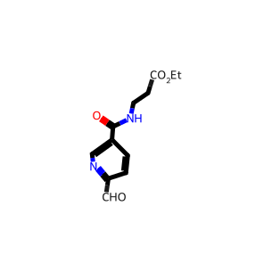 CCOC(=O)CCNC(=O)c1ccc(C=O)nc1